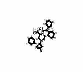 Cc1cc(N2CCN(C(=O)C(c3ccccc3)c3ccccc3)C(C(=O)O)C2)n(-c2ccccc2)n1